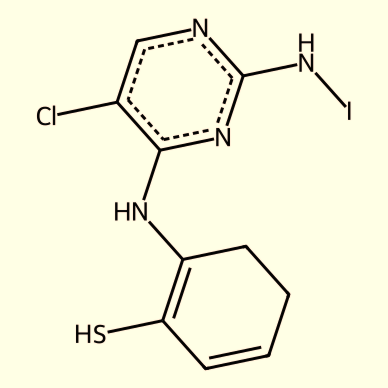 SC1=C(Nc2nc(NI)ncc2Cl)CCC=C1